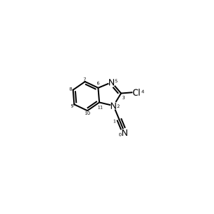 N#Cn1c(Cl)nc2ccccc21